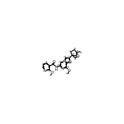 COc1ncccc1C(=O)Nc1cn2cc(C34CCC(C)(C3)OC4)nc2c(OC)n1